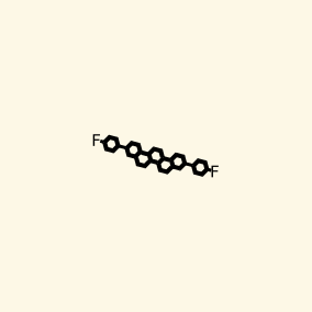 Fc1ccc(-c2ccc3c(ccc4c3ccc3c5ccc(-c6ccc(F)cc6)cc5ccc34)c2)cc1